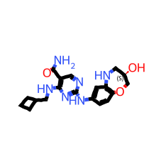 NC(=O)c1cnc(Nc2ccc3c(c2)NC[C@H](O)CO3)nc1NCC1CCC1